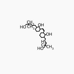 CC(C)(CO)CCCC1CCCC(/C=C\C2CCCC(CCCC(C)(C)CO)C2O)C1O